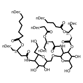 CCCCCCCCCCCCCCCC(=O)O[C@H](CCCCCCCCCCC)CC(=O)NC1C(CCO)OC(COC2OC(CO)C(O)C(OC(=O)C[C@@H](CCCCCCCCCCC)OC(=O)CCCCCCCCCCCCC)C2NC(=O)C[C@@H](CCCCCCCCCCC)OC(=O)CCCCCCCCCCC)C(O)C1O